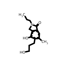 CCCN1Cc2c(cc(C)c(CCCO)c2O)C1=O